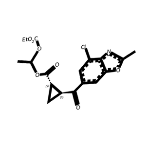 CCOC(=O)OC(C)OC(=O)[C@H]1C[C@@H]1C(=O)c1cc(Cl)c2nc(C)oc2c1